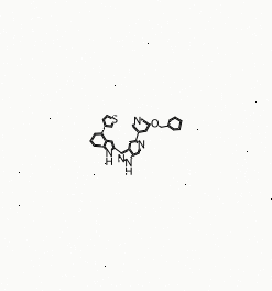 c1ccc(COc2cncc(-c3cc4c(-c5cc6c(-c7ccsc7)cccc6[nH]5)n[nH]c4cn3)c2)cc1